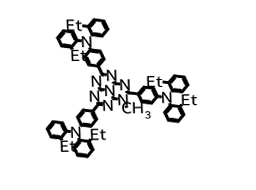 CCc1ccccc1N(c1ccc(C2=NC3=NC(c4ccc(N(c5ccccc5CC)c5ccccc5CC)cc4)=NC4N(C)C(c5ccc(N(c6ccccc6CC)c6ccccc6CC)cc5)=NC(=N2)N34)cc1)c1ccccc1CC